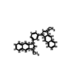 C[n+]1cn(-c2cccc(-n3c[n+](C)c4cc5ccccc5cc43)c2)c2cc3ccccc3cc21